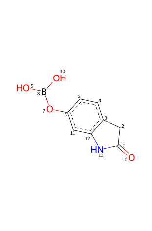 O=C1Cc2ccc(OB(O)O)cc2N1